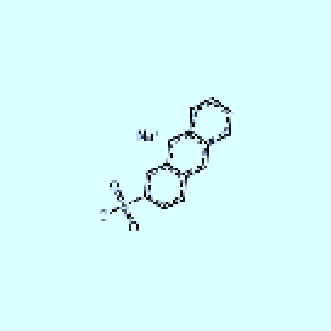 O=S(=O)([O-])c1ccc2cc3ccccc3cc2c1.[Na+]